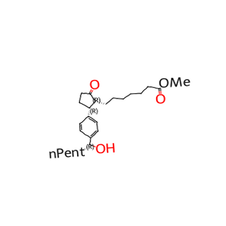 CCCCC[C@@H](O)c1ccc([C@@H]2CCC(=O)[C@@H]2CCCCCCC(=O)OC)cc1